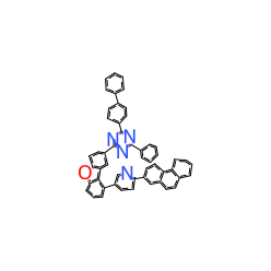 c1ccc(-c2ccc(-c3nc(-c4ccccc4)nc(-c4ccc5oc6cccc(-c7ccc(-c8ccc9c(ccc%10ccccc%109)c8)nc7)c6c5c4)n3)cc2)cc1